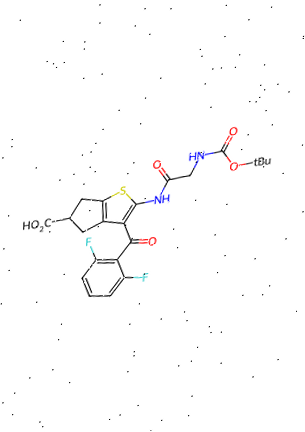 CC(C)(C)OC(=O)NCC(=O)Nc1sc2c(c1C(=O)c1c(F)cccc1F)CC(C(=O)O)C2